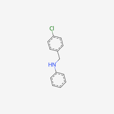 Clc1ccc(CNc2ccccc2)cc1